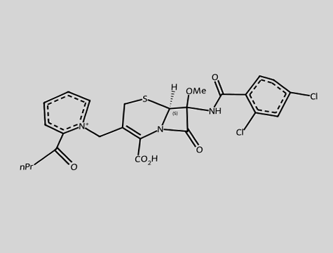 CCCC(=O)c1cccc[n+]1CC1=C(C(=O)O)N2C(=O)C(NC(=O)c3ccc(Cl)cc3Cl)(OC)[C@@H]2SC1